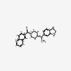 CC(c1ccc2c(c1)OCC2)N1CCN(C(=O)c2ccc3ncccc3c2)CC1